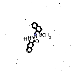 COc1ccc2ccccc2c1/C=N/NC(=O)c1cc2ccccc2cc1O